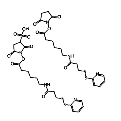 O=C(CCSSc1ccccn1)NCCCCCC(=O)ON1C(=O)CC(S(=O)(=O)O)C1=O.O=C(CCSSc1ccccn1)NCCCCCC(=O)ON1C(=O)CCC1=O